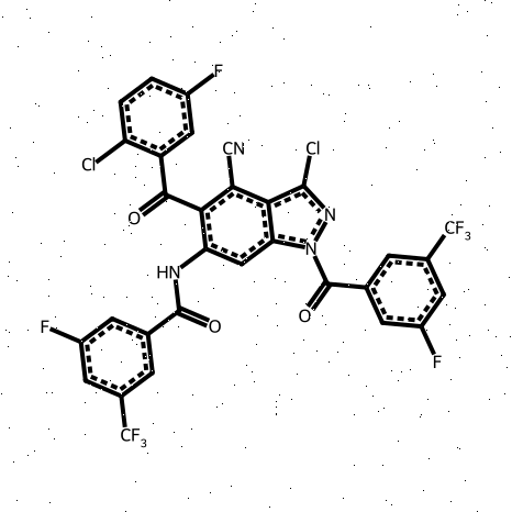 N#Cc1c(C(=O)c2cc(F)ccc2Cl)c(NC(=O)c2cc(F)cc(C(F)(F)F)c2)cc2c1c(Cl)nn2C(=O)c1cc(F)cc(C(F)(F)F)c1